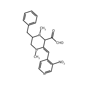 CN1CC(Cc2ccccc2)N(C)C(C(=O)C=O)C1=Cc1ccncc1[N+](=O)[O-]